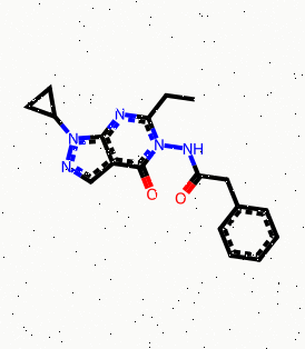 CCc1nc2c(cnn2C2CC2)c(=O)n1NC(=O)Cc1ccccc1